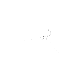 CCCCCCCCCCCCCCCCCCOCC(CCNC)OCCCCCCCCCCCCCCCCCC